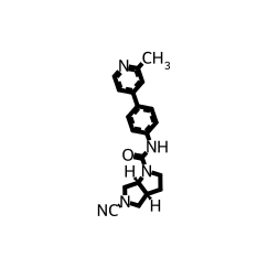 Cc1cc(-c2ccc(NC(=O)N3CC[C@@H]4CN(C#N)C[C@@H]43)cc2)ccn1